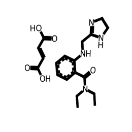 CCN(CC)C(=O)c1ccccc1NCC1=NCCN1.O=C(O)C=CC(=O)O